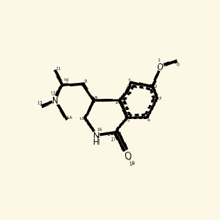 COc1ccc2c(c1)C(CC(C)N(C)C)CNC2=O